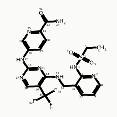 CCS(=O)(=O)Nc1ncccc1CNc1nc(Nc2ccc(C(N)=O)nc2)ncc1C(F)(F)F